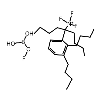 CCCCc1cccc(C(CCCC)(CCCC)[N+](F)(F)F)c1CCCC.OB(O)OF